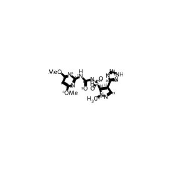 COc1cc(OC)nc(NC(=O)NS(=O)(=O)c2c(-c3nn[nH]n3)cnn2C)n1